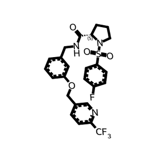 O=C(NCc1cccc(OCc2ccc(C(F)(F)F)nc2)c1)[C@@H]1CCCN1S(=O)(=O)c1ccc(F)cc1